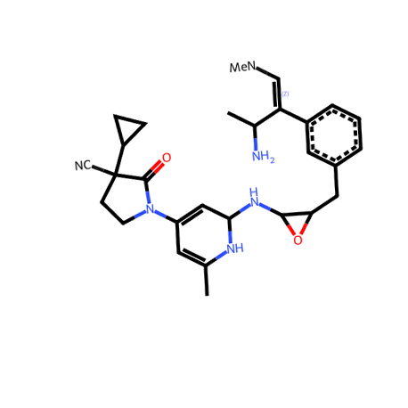 CN/C=C(/c1cccc(CC2OC2NC2C=C(N3CCC(C#N)(C4CC4)C3=O)C=C(C)N2)c1)C(C)N